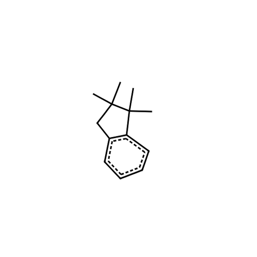 CC1(C)Cc2ccccc2C1(C)C